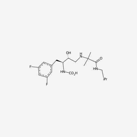 CC(C)CNC(=O)C(C)(C)NC[C@@H](O)[C@H](Cc1cc(F)cc(F)c1)NC(=O)O